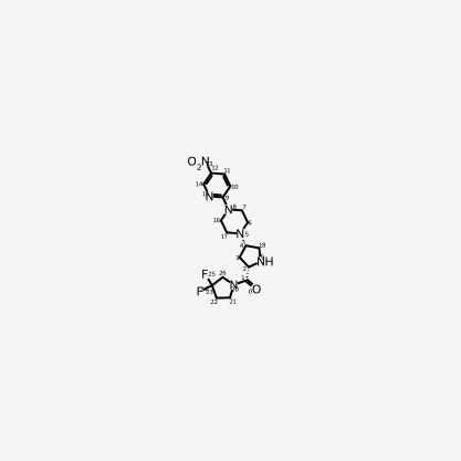 O=C([C@@H]1C[C@H](N2CCN(c3ccc([N+](=O)[O-])cn3)CC2)CN1)N1CCC(F)(F)C1